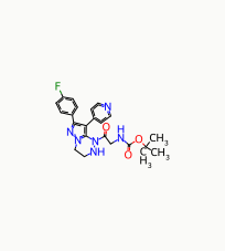 CC(C)(C)OC(=O)NCC(=O)N1NCCn2nc(-c3ccc(F)cc3)c(-c3ccncc3)c21